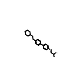 CC(Cl)COc1ccc(-c2ccc(CCC3CC[CH]CC3)cc2)cc1